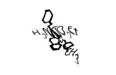 CCOC(=O)[C@@H](CCC1CCCCC1)[C@]1(N)CCc2ccccc2N(Cc2ccc(C)cc2)C1=O